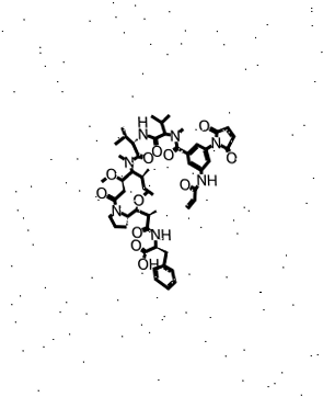 C=CC(=O)Nc1cc(C(=O)N(C)C(C(=O)N[C@H](C(=O)N(C)C([C@@H](C)CC)[C@@H](CC(=O)N2CCC[C@H]2[C@H](OC)[C@@H](C)C(=O)N[C@@H](Cc2ccccc2)C(=O)O)OC)C(C)C)C(C)C)cc(N2C(=O)C=CC2=O)c1